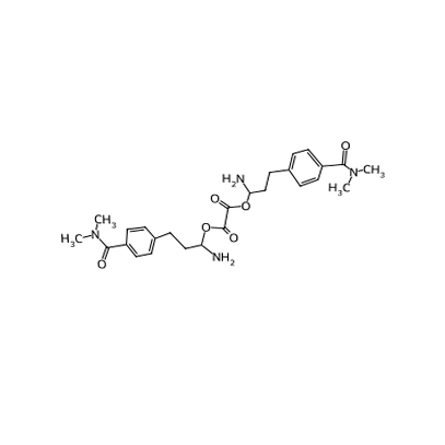 CN(C)C(=O)c1ccc(CCC(N)OC(=O)C(=O)OC(N)CCc2ccc(C(=O)N(C)C)cc2)cc1